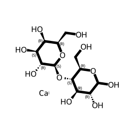 OC[C@H]1O[C@@H](O[C@H]2[C@H](O)[C@@H](O)C(O)O[C@@H]2CO)[C@H](O)[C@@H](O)[C@H]1O.[Ca]